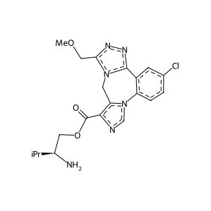 COCc1nnc2n1Cc1c(C(=O)OC[C@@H](N)C(C)C)ncn1-c1ccc(Cl)cc1-2